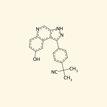 CC(C)(C#N)c1ccc(-c2n[nH]c3cnc4ccc(O)cc4c23)cc1